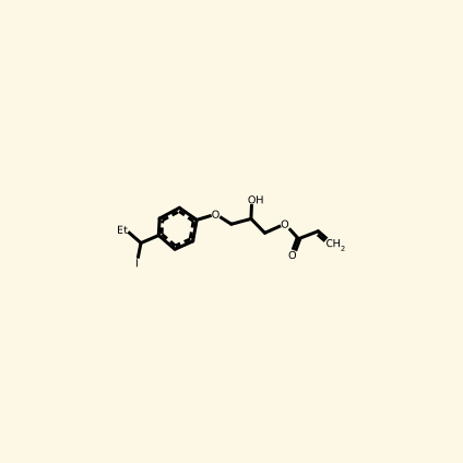 C=CC(=O)OCC(O)COc1ccc(C(I)CC)cc1